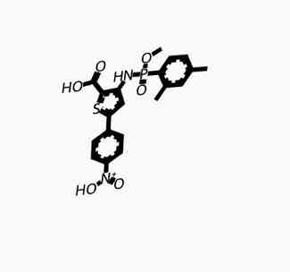 COP(=O)(Nc1cc(-c2ccc([N+](=O)O)cc2)sc1C(=O)O)c1ccc(C)cc1C